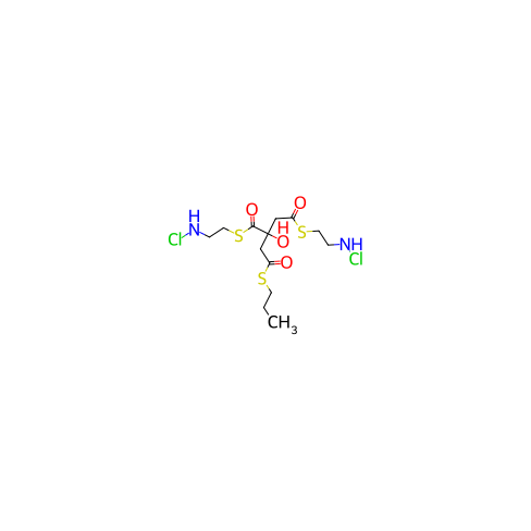 CCCSC(=O)CC(O)(CC(=O)SCCNCl)C(=O)SCCNCl